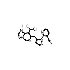 CC(C)c1c(Cc2ccnn2-c2ncccc2C#N)ncn2ncnc12